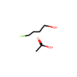 CC(=O)O.OCCCCF